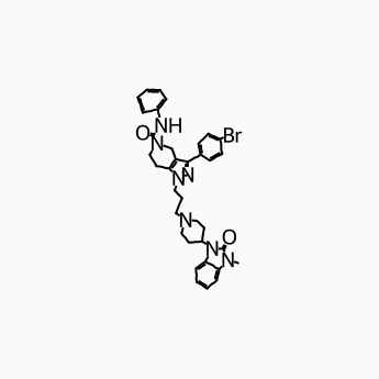 Cn1c(=O)n(C2CCN(CCCn3nc(-c4ccc(Br)cc4)c4c3CCN(C(=O)Nc3ccccc3)C4)CC2)c2ccccc21